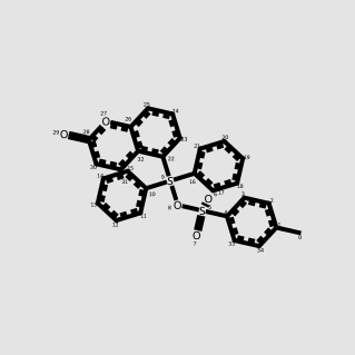 Cc1ccc(S(=O)(=O)OS(c2ccccc2)(c2ccccc2)c2cccc3oc(=O)ccc23)cc1